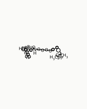 CCCCc1cc2c(c3c1=NCCC3)Oc1c(cc3c4c1CCCN4CCC3)C=2c1ccc(C(=O)NCCOCCOCCOCCOc2ccc(-c3cccc4c3CCCC(CC(C)CCC(C)(C)C(C)C)CC4)cc2)cc1C(=O)O